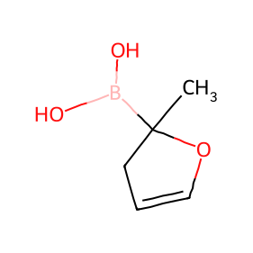 CC1(B(O)O)CC=CO1